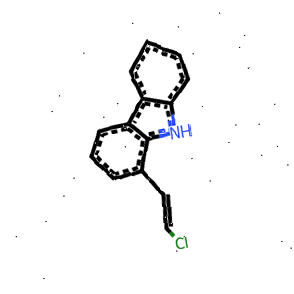 ClC=Cc1cccc2c1[nH]c1ccccc12